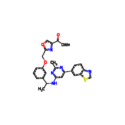 COC(=O)c1coc(COc2cccc(C(C)Nc3cc(-c4ccc5ncsc5c4)nc(C)n3)c2)n1